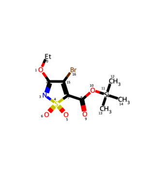 CCOC1=NS(=O)(=O)C(C(=O)O[Si](C)(C)C)=C1Br